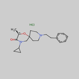 C[C@H]1OC2(CCN(CCc3ccccc3)CC2)CN(C2CC2)C1=O.Cl